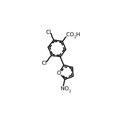 O=C(O)c1cc(-c2ccc([N+](=O)[O-])o2)c(Cl)cc1Cl